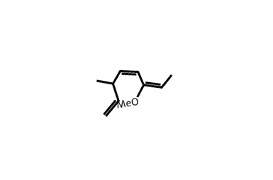 C=CC(C)/C=C\C(=C/C)OC